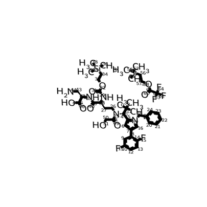 CC(C)(C)[C@H](c1cc(-c2cc(F)ccc2F)cn1Cc1ccccc1)N(CC[C@H](NC(=O)OCC[Si](C)(C)C)C(=O)N[C@H](CN)C(=O)O)C(=O)CO.C[Si](C)(C)CCOC(=O)C(F)(F)F